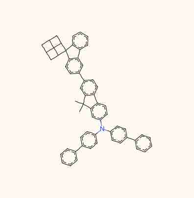 CC1(C)c2cc(-c3ccc4c(c3)-c3ccccc3C43C4CC5CC6CC3C564)ccc2-c2ccc(N(c3ccc(-c4ccccc4)cc3)c3ccc(-c4ccccc4)cc3)cc21